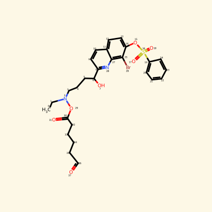 CCN(CCCC(O)c1ccc2ccc(OS(=O)(=O)c3ccccc3)c(Br)c2n1)OC(=O)CCCCC=O